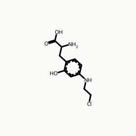 NC(Cc1ccc(NCCCl)cc1O)C(=O)O